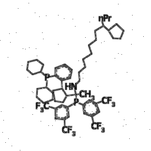 CCCC(CCCCCCCCNC(C)(C1CCCC1c1ccccc1P(C1CCCCC1)C1CCCCC1)P(c1cc(C(F)(F)F)cc(C(F)(F)F)c1)c1cc(C(F)(F)F)cc(C(F)(F)F)c1)C1CCCC1